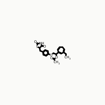 CCC1=CCC=CC(C(COc2ccc(CC3SC(=O)NC3=O)cc2)OC(C)=O)=C1